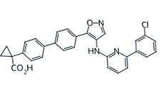 O=C(O)C1(c2ccc(-c3ccc(-c4oncc4Nc4cccc(-c5cccc(Cl)c5)n4)cc3)cc2)CC1